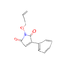 C=CCON1C(=O)C=C(c2ccccc2)C1=O